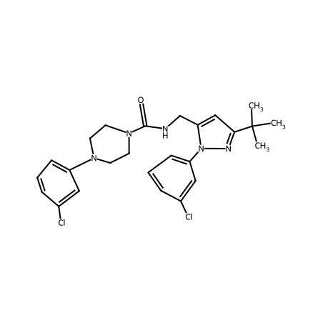 CC(C)(C)c1cc(CNC(=O)N2CCN(c3cccc(Cl)c3)CC2)n(-c2cccc(Cl)c2)n1